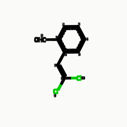 O=Cc1ccccc1C=C(Cl)Cl